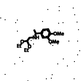 CCOC(CNC(C)c1ccc(OC)c(OC)c1)OCC